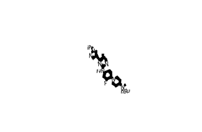 CCCCN(C)C1CCN(c2ccc(Nc3ncc(C)c(-c4cnn(C(C)C)c4)n3)cc2F)CC1